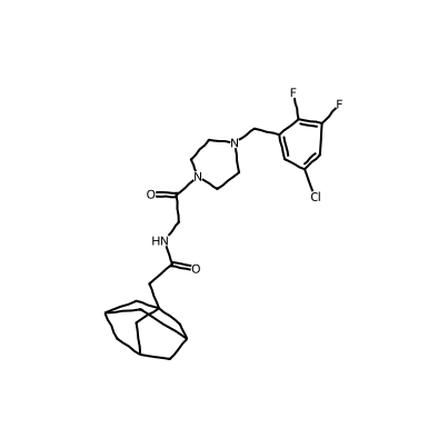 O=C(CC12CC3CC(CC(C3)C1)C2)NCC(=O)N1CCN(Cc2cc(Cl)cc(F)c2F)CC1